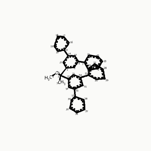 COC(C)(c1cc(-c2ccccc2)cc(-c2ccccc2)c1)c1cc(-c2ccccc2)cc(-c2ccccc2)c1